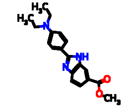 CCN(CC)c1ccc(-c2nc3ccc(C(=O)OC)cc3[nH]2)cc1